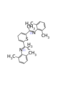 C/C(=N\c1c(C)cccc1C)C1=CCC=C(/C(C)=N/c2c(C)cccc2C)S1